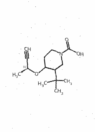 C#C[C@H](C)OC1CCN(C(=O)O)CC1C(C)(C)C